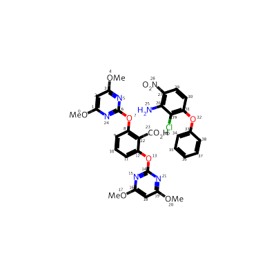 COc1cc(OC)nc(Oc2cccc(Oc3nc(OC)cc(OC)n3)c2C(=O)O)n1.Nc1c([N+](=O)[O-])ccc(Oc2ccccc2)c1Cl